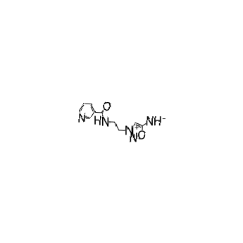 [NH-]c1c[n+](CCNC(=O)c2cccnc2)no1